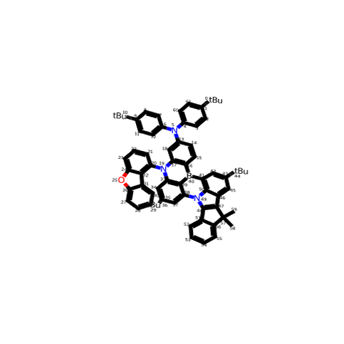 CC(C)(C)c1ccc(N(c2ccc(C(C)(C)C)cc2)c2ccc3c(c2)N(c2cccc4oc5ccccc5c24)c2cc(C(C)(C)C)cc4c2B3c2cc(C(C)(C)C)cc3c5c(n-4c23)-c2ccccc2C5(C)C)cc1